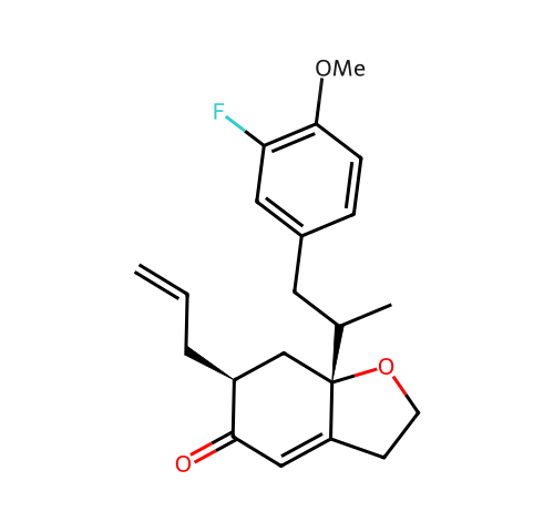 C=CC[C@H]1C[C@]2(C(C)Cc3ccc(OC)c(F)c3)OCCC2=CC1=O